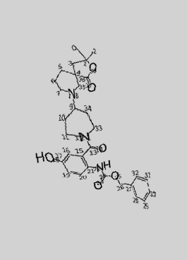 CC1(C)CC2(CCCN(C3CCN(C(=O)c4cc(O)ccc4NC(=O)OCc4ccccc4)CC3)C2)C(=O)O1